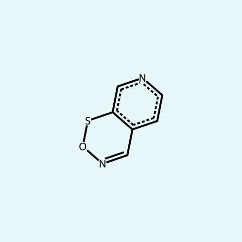 C1=NOSc2cnccc21